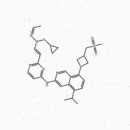 C/C=N\N(/C=C/c1nccc(Nc2cc3c(C(C)C)ccc(N4CC(CS(C)(=O)=O)C4)c3cn2)n1)SC1CC1